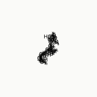 C=CCOC(=O)Nc1cc(OCCCOc2cc(NC(=O)OCc3ccc(NC(=O)C(C)NC(=O)C(NC(=O)OCC=C)C(C)C)cc3)c(C(=O)N3CC4(CC4)C[C@H]3CO)cc2OC)c(OC)cc1C(=O)N1CC2(CC2)C[C@H]1CO